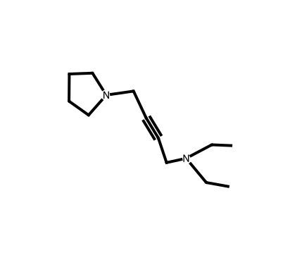 CCN(CC)CC#CCN1CCCC1